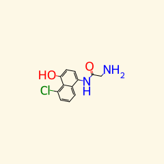 NCC(=O)Nc1ccc(O)c2c(Cl)cccc12